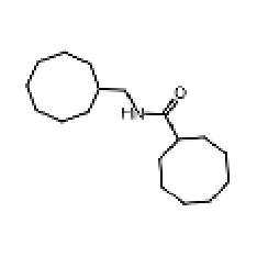 O=C(NCC1CCCCCCC1)C1CCCCCCC1